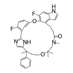 CN1CC(C)(C)OCCC(C)(c2ccccc2)c2cnc([nH]2)-c2cc(ccc2F)Oc2c(F)cc3[nH]ccc3c2CCC1=O